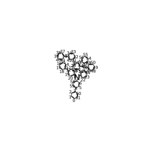 c1ccc(-c2ccc(N(c3ccc(-c4ccccc4)cc3)c3cccc4c3-c3ccc(-c5cccc(-c6ccccc6)c5)cc3C4(c3ccccc3)c3ccccc3)cc2)cc1